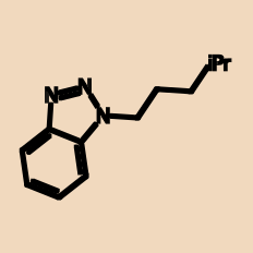 CC(C)CCCn1nnc2ccccc21